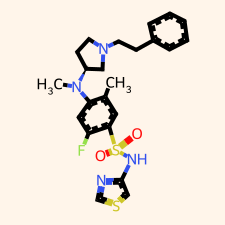 Cc1cc(S(=O)(=O)Nc2cscn2)c(F)cc1N(C)[C@H]1CCN(CCc2ccccc2)C1